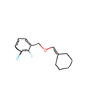 Fc1cccc(COC=C2CCCCC2)c1F